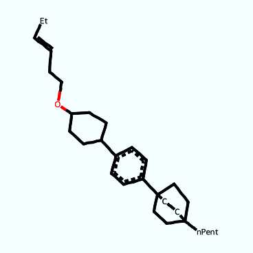 CC/C=C/CCOC1CCC(c2ccc(C34CCC(CCCCC)(CC3)CC4)cc2)CC1